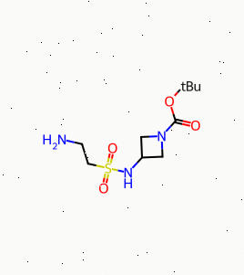 CC(C)(C)OC(=O)N1CC(NS(=O)(=O)CCN)C1